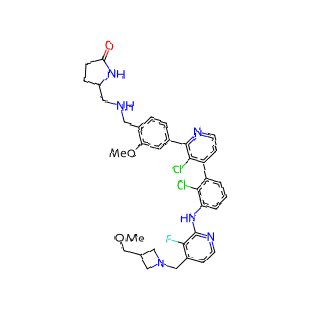 COCC1CN(Cc2ccnc(Nc3cccc(-c4ccnc(-c5ccc(CNCC6CCC(=O)N6)c(OC)c5)c4Cl)c3Cl)c2F)C1